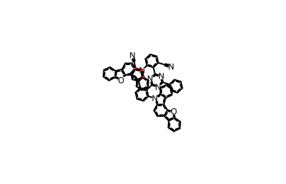 N#Cc1ccc(-c2cccc(-n3c4ccccc4c4c5oc6ccccc6c5ccc43)c2-c2nc(-c3ccccc3)nc(-c3c(C#N)cccc3-n3c4ccccc4c4c5oc6ccccc6c5ccc43)n2)cc1